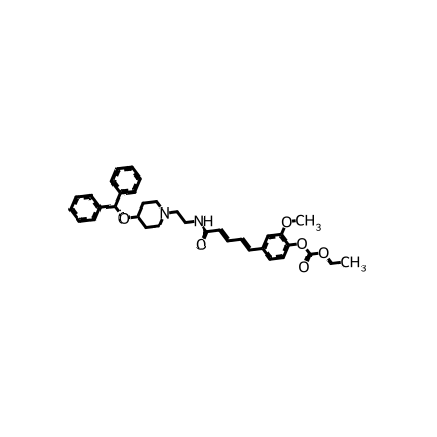 CCOC(=O)Oc1ccc(C=CC=CC(=O)NCCN2CCC(OC(c3ccccc3)c3ccccc3)CC2)cc1OC